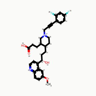 COc1ccc2nccc([C@@H](O)CCC3CCN(CC#Cc4ccc(F)cc4F)CC3CCC(=O)O)c2c1